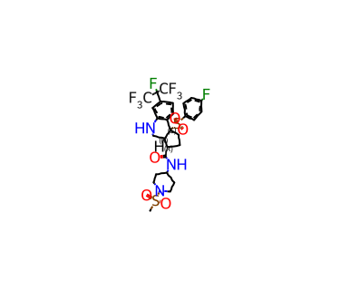 CS(=O)(=O)N1CCC(NC(=O)[C@@H]2CC[C@@]3(S(=O)(=O)c4ccc(F)cc4)c4ccc(C(F)(C(F)(F)F)C(F)(F)F)cc4NC[C@@H]23)CC1